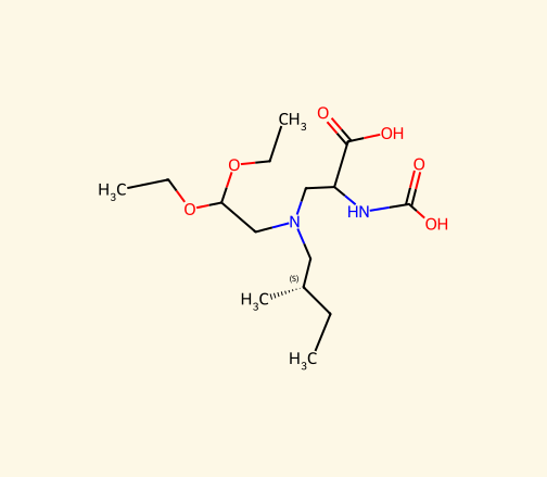 CCOC(CN(CC(NC(=O)O)C(=O)O)C[C@@H](C)CC)OCC